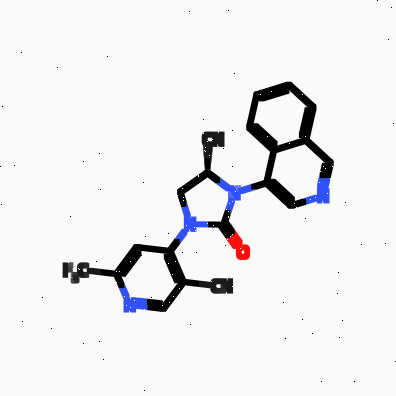 N#Cc1cnc(C(F)(F)F)cc1N1C[C@@H](C#N)N(c2cncc3ccccc23)C1=O